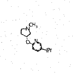 CC(C)c1ccc(O[C@@H]2CCN(C)C2)nc1